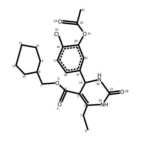 CCC1=C(C(=O)OCC2CCCCC2)C(c2ccc(Cl)c(OC(C)=O)c2)NC(=O)N1